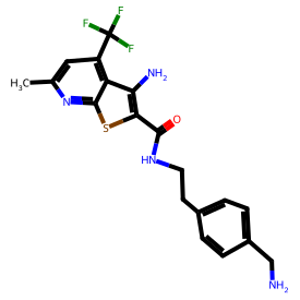 Cc1cc(C(F)(F)F)c2c(N)c(C(=O)NCCc3ccc(CN)cc3)sc2n1